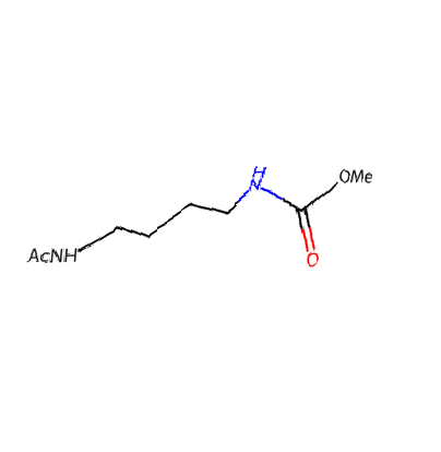 COC(=O)NCCCCNC(C)=O